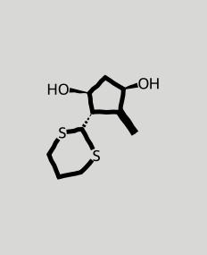 C=C1[C@H](O)C[C@H](O)[C@H]1C1SCCCS1